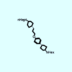 CCCCCCC[C@H]1CC[C@H](CCCOc2ccc([C@H]3CC[C@H](CCCCCC)CC3)cc2)CC1